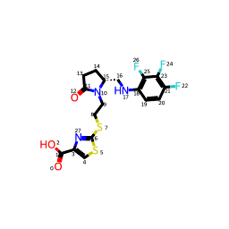 O=C(O)c1csc(SCCN2C(=O)CC[C@@H]2CNc2ccc(F)c(F)c2F)n1